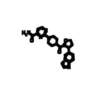 NC(=O)c1ccnc(N2CCC(C(=O)N3OCCC3c3ccc4nccn4c3)CC2)n1